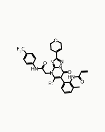 C=CC(=O)Nc1c(C)cccc1-c1c(CC)n(CC(=O)Nc2ccc(C(F)(F)F)cc2)c2nc(C3=CCOCC3)nn2c1=O